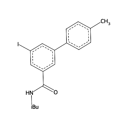 CCC(C)NC(=O)c1cc(I)cc(-c2ccc(C)cc2)c1